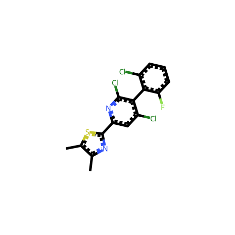 Cc1nc(-c2cc(Cl)c(-c3c(F)cccc3Cl)c(Cl)n2)sc1C